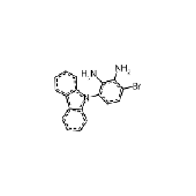 Nc1c(Br)ccc(-n2c3ccccc3c3ccccc32)c1N